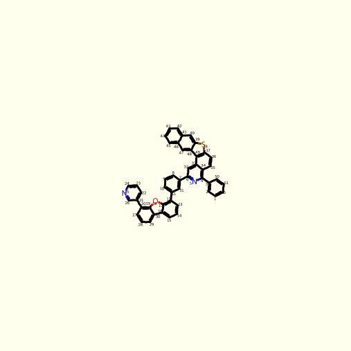 c1ccc(-c2nc(-c3cccc(-c4cccc5c4oc4c(-c6cccnc6)cccc45)c3)cc3c2ccc2sc4cc5ccccc5cc4c23)cc1